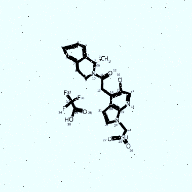 C[C@H]1c2ccccc2CCN1C(=O)Cc1c(Cl)cnc2c1ccn2C[SH](=O)=O.O=C(O)C(F)(F)F